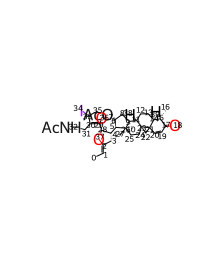 CC=C1C[C@@H]([C@H]2[C@@H](OC(C)=O)C[C@@]3(C)[C@@H]4CC[C@H]5[C@H](C)C(=O)C=C[C@@]56C[C@@]46CC[C@]23C)[C@H](C2=C(CNC(C)=O)[C@@H](I)CO2)O1